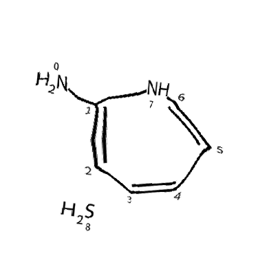 NC1=CC=CC=CN1.S